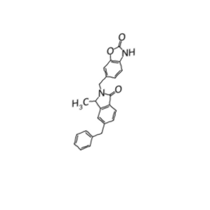 CC1c2cc(Cc3ccccc3)ccc2C(=O)N1Cc1ccc2[nH]c(=O)oc2c1